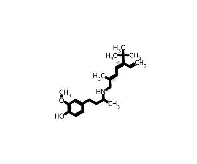 C=C/C(=C\C=C(/C)CNC(C)CCc1ccc(O)c(OC)c1)C(C)(C)C